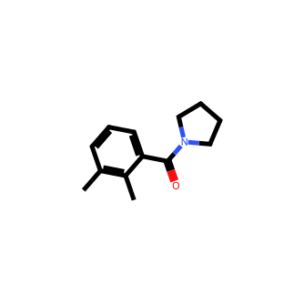 Cc1cccc(C(=O)N2CCCC2)c1C